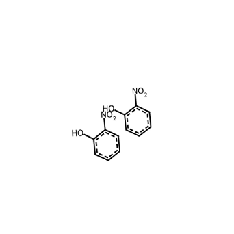 O=[N+]([O-])c1ccccc1O.O=[N+]([O-])c1ccccc1O